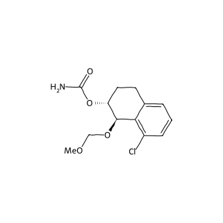 COCO[C@@H]1c2c(Cl)cccc2CC[C@H]1OC(N)=O